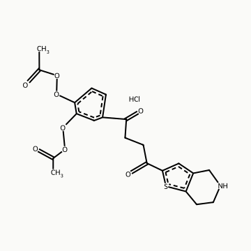 CC(=O)OOc1ccc(C(=O)CCC(=O)c2cc3c(s2)CCNC3)cc1OOC(C)=O.Cl